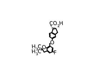 CC1(C)Cc2cc(F)cc(COc3ccc4c(c3)CC[C@H]4CC(=O)O)c2O1